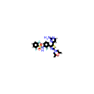 CC1CN(c2nc(-c3cccc(NS(=O)(=O)c4c(F)cccc4F)c3F)c(-c3ccnc(N)n3)s2)CC(C)O1